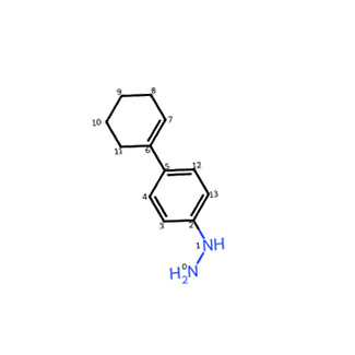 NNc1ccc(C2=CCCCC2)cc1